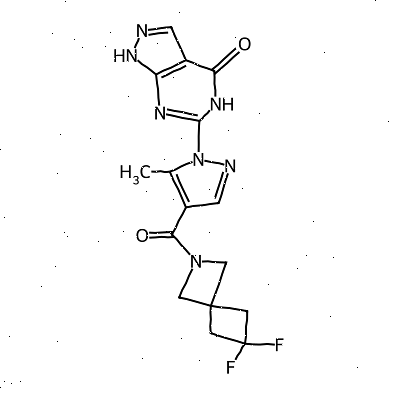 Cc1c(C(=O)N2CC3(C2)CC(F)(F)C3)cnn1-c1nc2[nH]ncc2c(=O)[nH]1